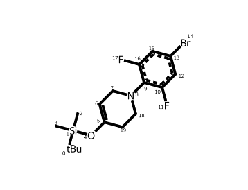 CC(C)(C)[Si](C)(C)OC1=CCN(c2c(F)cc(Br)cc2F)CC1